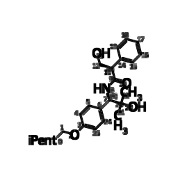 CCCC(C)COc1ccc([C@@H](NC(=O)[C@@H](CO)c2ccccc2)C(C)(C)O)cc1